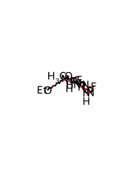 CCOCCCCCCCCN(C)C(=O)N[C@H]1CCC[C@@H](Nc2nc(-c3c[nH]c4ncc(F)cc34)ncc2F)C1